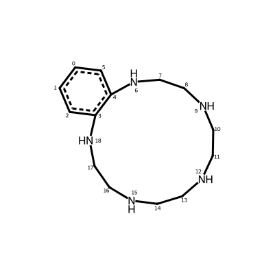 c1ccc2c(c1)NCCNCCNCCNCCN2